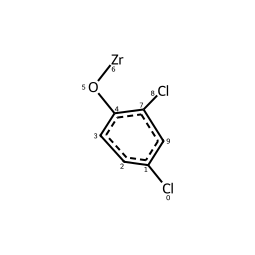 Clc1ccc([O][Zr])c(Cl)c1